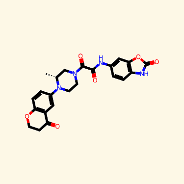 C[C@@H]1CN(C(=O)C(=O)Nc2ccc3[nH]c(=O)oc3c2)CCN1c1ccc2c(c1)C(=O)CCO2